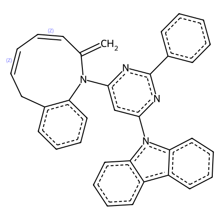 C=C1/C=C\C=C/Cc2ccccc2N1c1cc(-n2c3ccccc3c3ccccc32)nc(-c2ccccc2)n1